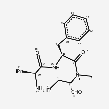 CC(C)C[C@@H](C=O)N(C)C(=O)[C@H](Cc1ccccc1)NC(=O)[C@@H](N)C(C)C